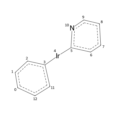 c1cc[c]([Ir][c]2ccccn2)cc1